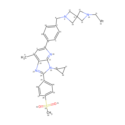 Cc1cc(-c2ccc(CN3CC4(C3)CN(CC(C)C)C4)cc2)nc2c1nc(-c1ccc(S(C)(=O)=O)cc1)n2C1CC1